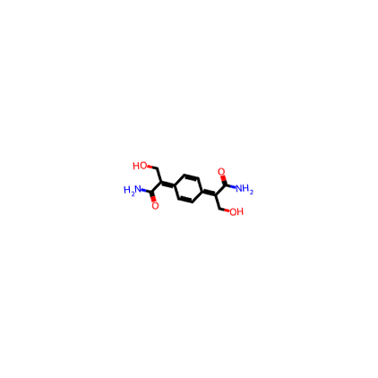 NC(=O)C(CO)=c1ccc(=C(CO)C(N)=O)cc1